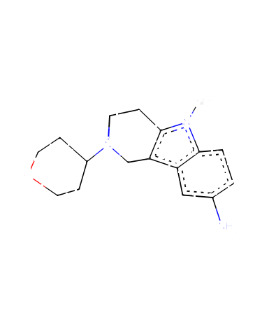 CCCn1c2c(c3cc(N)ccc31)CN(C1CCOCC1)CC2